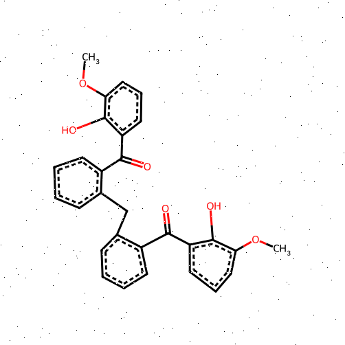 COc1cccc(C(=O)c2ccccc2Cc2ccccc2C(=O)c2cccc(OC)c2O)c1O